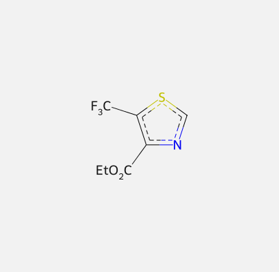 CCOC(=O)c1ncsc1C(F)(F)F